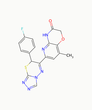 Cc1cc(C2=Nn3cnnc3SC2c2ccc(F)cc2)nc2c1OCC(=O)N2